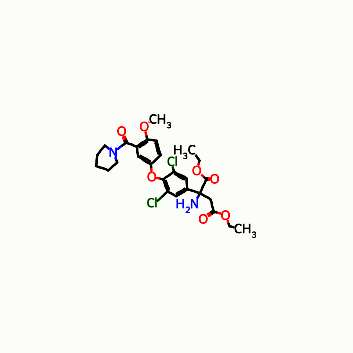 CCOC(=O)CC(N)(C(=O)OCC)c1cc(Cl)c(Oc2ccc(OC)c(C(=O)N3CCCCC3)c2)c(Cl)c1